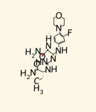 CC[C@@H](NC(=N)/N=C(/Nc1ccc(N2CCOCC2)c(F)c1)C(=N)C(N)=O)C(N)=O